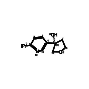 CC(C)c1ccc([C@@]2(O)CCOC2)cn1